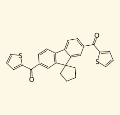 O=C(c1ccc2c(c1)C1(CCCC1)c1cc(C(=O)c3cccs3)ccc1-2)c1cccs1